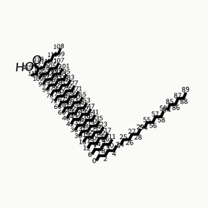 CCCCCC.CCCCCC.CCCCCC.CCCCCC.CCCCCC.CCCCCC.CCCCCC.CCCCCC.CCCCCC.CCCCCC.CCCCCC.CCCCCC.CCCCCC.CCCCCC.CCCCCC.CCCCCC.CCCCCC.CCCCCC.CCCCCCC(CC)C(=O)O